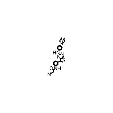 N#CCC(=O)Nc1cccc(-c2csc3cnc(Nc4ccc(N5CCOCC5)cc4)nc23)c1